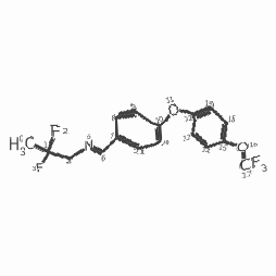 CC(F)(F)C/N=C/c1ccc(Oc2ccc(OC(F)(F)F)cc2)cc1